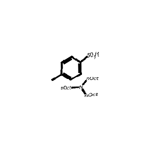 CCCCCCCCN(CCCCCCCC)CCCCCCCC.Cc1ccc(S(=O)(=O)O)cc1